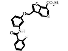 CCOC(=O)c1cncc2c(COc3cccc(NC(=O)c4ccccc4F)c3)csc12